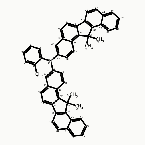 Cc1ccccc1N(c1ccc2c3c(ccc2c1)-c1ccc2ccccc2c1C3(C)C)c1ccc2c3c(ccc2c1)-c1ccc2ccccc2c1C3(C)C